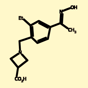 CCc1cc(C(C)=NO)ccc1CN1CC(C(=O)O)C1